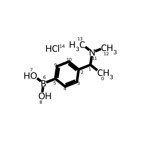 CC(c1ccc(B(O)O)cc1)N(C)C.Cl